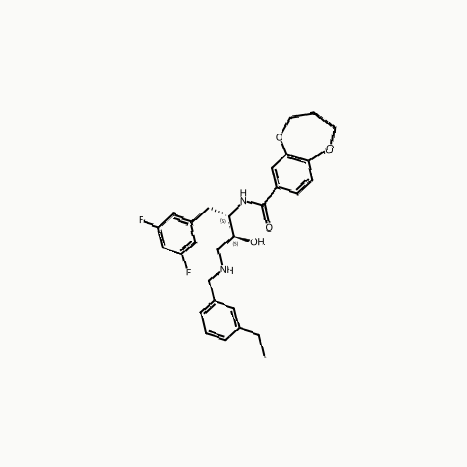 CCc1cccc(CNC[C@H](O)[C@H](Cc2cc(F)cc(F)c2)NC(=O)c2ccc3c(c2)OCCCO3)c1